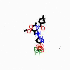 CCOC(=O)c1cn(-c2ccc(OS(=O)(=O)C(F)(F)F)nn2)nc1N(C(=O)C1CCC(C)CC1)C(C)C